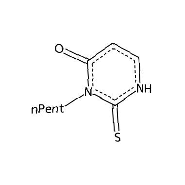 CCCCCn1c(=O)cc[nH]c1=S